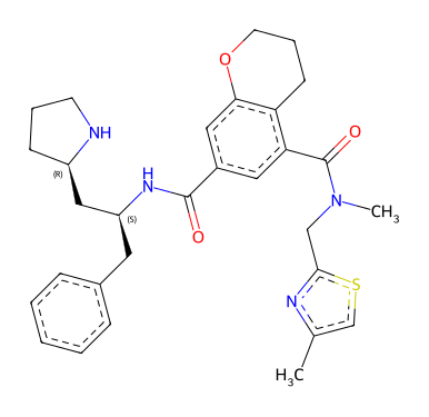 Cc1csc(CN(C)C(=O)c2cc(C(=O)N[C@@H](Cc3ccccc3)C[C@H]3CCCN3)cc3c2CCCO3)n1